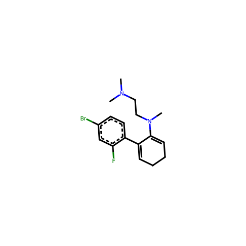 CN(C)CCN(C)C1=CC[CH]C=C1c1ccc(Br)cc1F